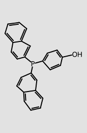 Oc1ccc(P(c2ccc3ccccc3c2)c2ccc3ccccc3c2)cc1